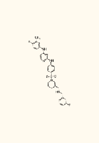 Cc1cc(Nc2ccnc(Nc3ccc(S(=O)(=O)N4CCCC(CNCc5cccc(F)c5)C4)cc3)n2)ccc1F